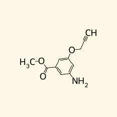 C#CCOc1cc(N)cc(C(=O)OC)c1